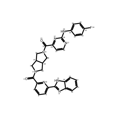 O=C(c1cccc(-c2nc3ccccc3[nH]2)n1)N1CC2CN(C(=O)c3ccnc(Nc4ccc(F)cc4)n3)CC2C1